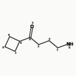 [NH]CCCC(=O)C1CCC1